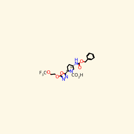 O=C(N[C@H]1CC[C@H](c2nnc(OCCOC(F)(F)F)o2)N(C(=O)O)C1)OCc1ccccc1